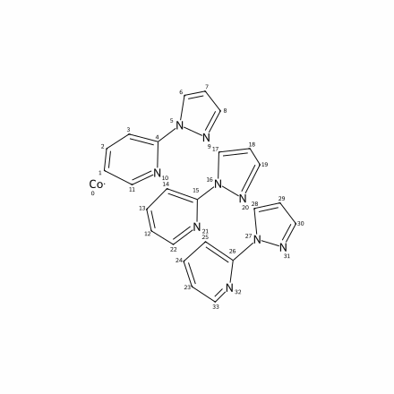 [Co].c1ccc(-n2cccn2)nc1.c1ccc(-n2cccn2)nc1.c1ccc(-n2cccn2)nc1